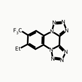 CCc1cc2c(cc1C(F)(F)F)n1nnnc1c1nnnn21